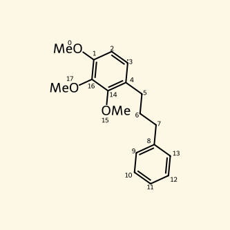 COc1c[c]c(CCCc2ccccc2)c(OC)c1OC